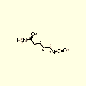 NC(=O)CCCCN=C=O